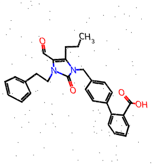 CCCc1c(C=O)n(CCc2ccccc2)c(=O)n1Cc1ccc(-c2ccccc2C(=O)O)cc1